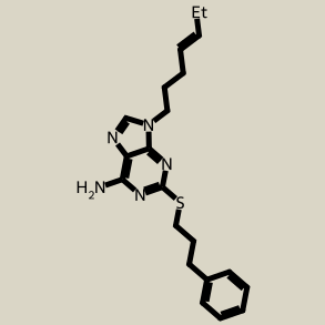 CC/C=C/CCCn1cnc2c(N)nc(SCCCc3ccccc3)nc21